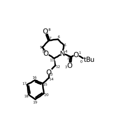 CC(C)(C)OC(=O)N1CCC(=O)CO[C@@H]1COCc1ccccc1